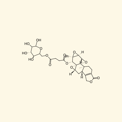 CC(C)[C@]12O[C@H]1[C@@H]1O[C@]13[C@]1(O[C@H]1C[C@H]1C4=C(CC[C@@]13C)C(=O)OC4)[C@@H]2OC(=O)CCC(=O)OCC1OC(O)C(O)[C@@H](O)[C@@H]1O